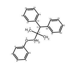 CC(C)([SiH2]Oc1ccccc1)C(c1ccccc1)c1ccccc1